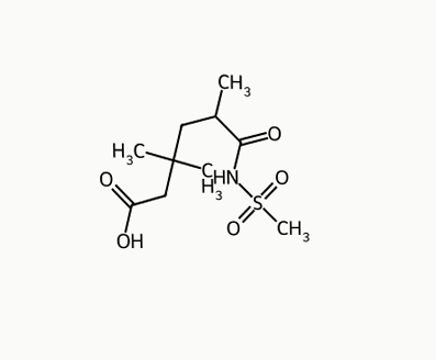 CC(CC(C)(C)CC(=O)O)C(=O)NS(C)(=O)=O